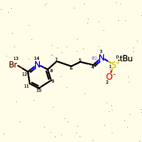 CC(C)(C)[S+]([O-])/N=C/CCCc1cccc(Br)n1